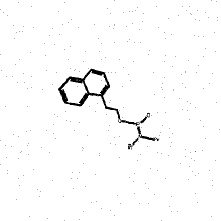 CC(C)N(C(C)C)P(Cl)OCCc1cccc2ccccc12